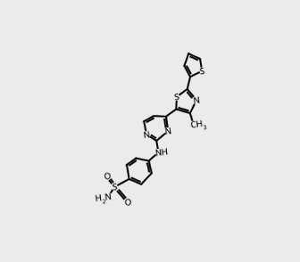 Cc1nc(-c2cccs2)sc1-c1ccnc(Nc2ccc(S(N)(=O)=O)cc2)n1